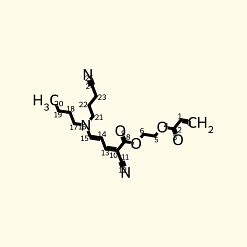 C=CC(=O)OCCOC(=O)/C(C#N)=C\C=C\N(CCCC)CCCC#N